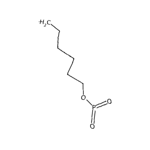 [CH2]CCCCCOP(=O)=O